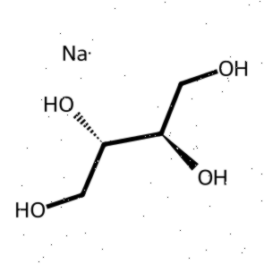 OC[C@@H](O)[C@@H](O)CO.[Na]